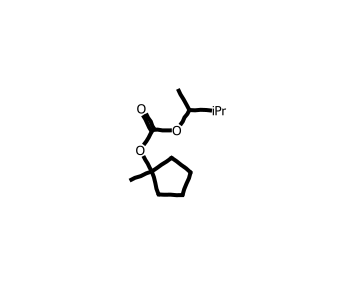 CC(C)C(C)OC(=O)OC1(C)CCCC1